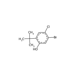 CC(C)(C)c1cc(Cl)c(Br)cc1O